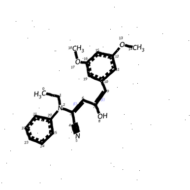 CCN(/C(C#N)=C/C(O)=C\c1cc(OC)cc(OC)c1)c1ccccc1